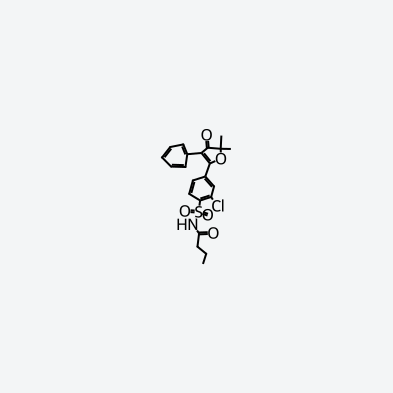 CCCC(=O)NS(=O)(=O)c1ccc(C2=C(c3ccccc3)C(=O)C(C)(C)O2)cc1Cl